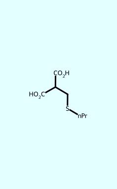 CCCSCC(C(=O)O)C(=O)O